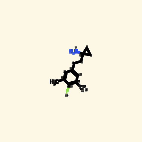 Cc1cc(CCC2(N)CC2)cc(C(F)(F)F)c1F